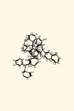 c1ccc(N(c2ccccc2)c2cccc(N(c3cccc4c3C3(c5ccccc5S4)c4ccccc4-c4ccccc43)c3cccc4c3oc3cc5ccccc5cc34)c2)cc1